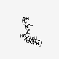 CC(C)(C)OC(=O)[AsH]C(CCCCN(O)CC=NO)C(=O)O